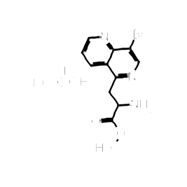 COC(=O)C(N)Cc1ncc(Br)c2ncccc12.Cl.Cl.Cl